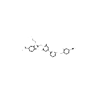 COCCn1c(Cn2c(C)cc(-c3cccc(OCc4ccc(C#N)cc4F)n3)cc2=O)nc2ccc(C(=O)OC)cc21